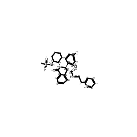 CS(=O)(=O)N[C@H]1CCCC[C@@H]1N1C(=O)c2ccccc2[C@@H](C(=O)NCCc2ccccn2)[C@@H]1c1ccc(Cl)cc1Cl